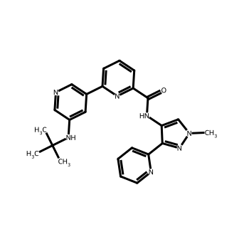 Cn1cc(NC(=O)c2cccc(-c3cncc(NC(C)(C)C)c3)n2)c(-c2ccccn2)n1